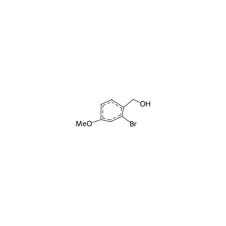 COc1ccc(CO)c(Br)c1